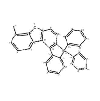 Cc1cccc2c1oc1ccc3c(c12)-c1ccccc1[Si]3(c1ccccc1)c1ccccc1